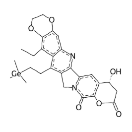 CCc1c2c(cc3nc4c(c(C[CH2][Ge]([CH3])([CH3])[CH3])c13)Cn1c-4cc3c(c1=O)OC(=O)C[C@H]3O)OCCO2